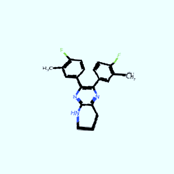 Cc1cc(-c2nc3c(nc2-c2ccc(F)c(C)c2)NCCC3)ccc1F